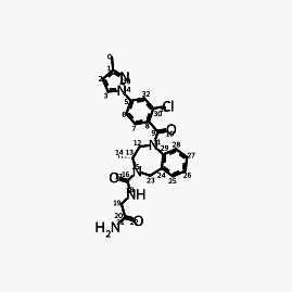 Cc1ccn(-c2ccc(C(=O)N3C[C@@H](C)N(C(=O)NCC(N)=O)Cc4ccccc43)c(Cl)c2)n1